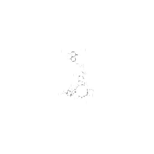 C=C1OCc2cc(CCCN(C)CCO[C@H]3[C@H](C)O[C@@H](O[C@H]4[C@H](C)[C@@H](O[C@@H]5O[C@H](C)C[C@H](N(C)C)[C@H]5O)[C@](C)(OC)C[C@@H](C)C(=O)[C@H](C)[C@@H](O)[C@](C)(O)[C@@H](CC)OC(=O)[C@@H]4C)C[C@@]3(C)OC)cc3c(=O)c(C(=O)O)cn1c23